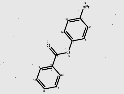 CCCc1ccc(OC(=O)c2ccccc2)cc1